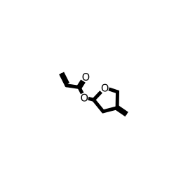 C=CC(=O)OC1CC(=C)CO1